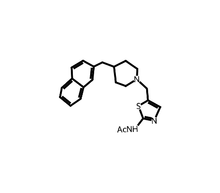 CC(=O)Nc1ncc(CN2CCC(Cc3ccc4ccccc4c3)CC2)s1